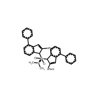 CCCCCC1=Cc2c(-c3ccccc3)cccc2[CH]1[Zr]([Cl])([Cl])([CH]1C(CCCCC)=Cc2c(-c3ccccc3)cccc21)=[Si](C)C